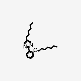 CCCCCCCOc1ccccc1-c1ncc(CCCCCC)cn1